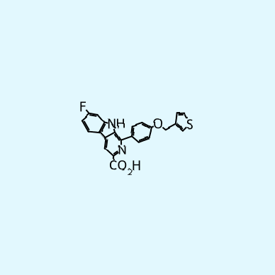 O=C(O)c1cc2c([nH]c3cc(F)ccc32)c(-c2ccc(OCc3ccsc3)cc2)n1